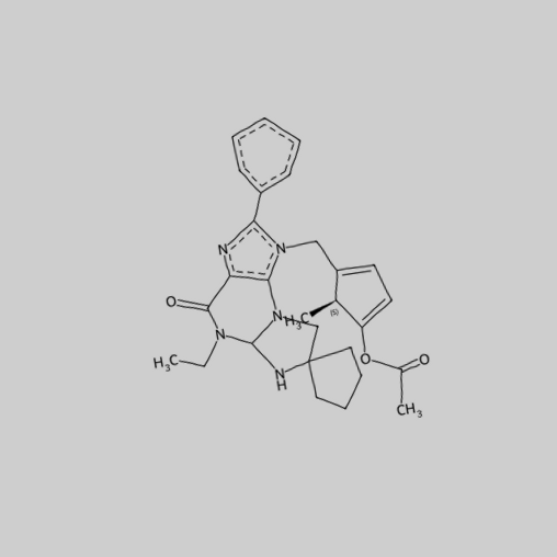 CCN1C(=O)c2nc(-c3ccccc3)n(CC3=CC=C(OC(C)=O)[C@H]3C)c2N2CC3(CCCC3)NC12